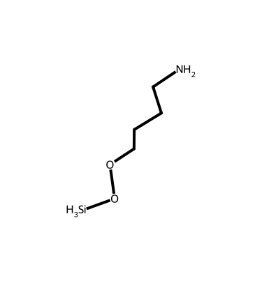 NCCCCOO[SiH3]